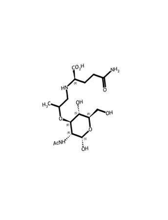 CC(=O)N[C@@H]1[C@@H](OC(C)CN[C@H](CCC(N)=O)C(=O)O)[C@H](O)[C@@H](CO)O[C@@H]1O